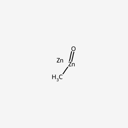 [CH3][Zn]=[O].[Zn]